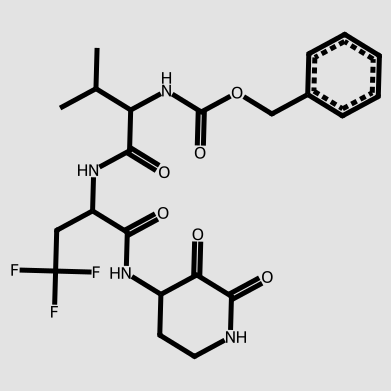 CC(C)C(NC(=O)OCc1ccccc1)C(=O)NC(CC(F)(F)F)C(=O)NC1CCNC(=O)C1=O